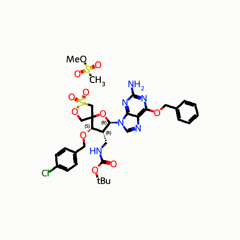 CC(C)(C)OC(=O)NC[C@H]1[C@H](n2cnc3c(OCc4ccccc4)nc(N)nc32)OC2(COS(=O)(=O)C2)[C@H]1OCc1ccc(Cl)cc1.COS(C)(=O)=O